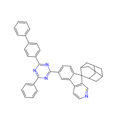 c1ccc(-c2ccc(-c3nc(-c4ccccc4)nc(-c4ccc5c(c4)-c4ccncc4C54C5CC6CC(C5)CC4C6)n3)cc2)cc1